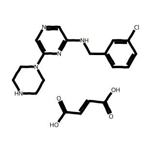 Clc1cccc(CNc2cncc(N3CCNCC3)n2)c1.O=C(O)C=CC(=O)O